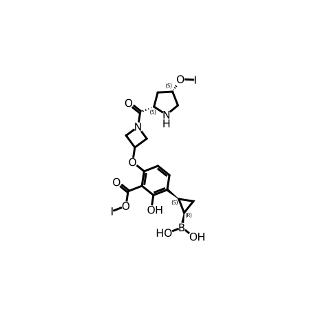 O=C(OI)c1c(OC2CN(C(=O)[C@@H]3C[C@H](OI)CN3)C2)ccc([C@H]2C[C@H]2B(O)O)c1O